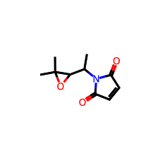 CC(C1OC1(C)C)N1C(=O)C=CC1=O